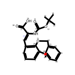 COc1cccc(/C=C(\NC(=O)OC(C)(C)C)C(=O)O)c1OCc1ccccc1